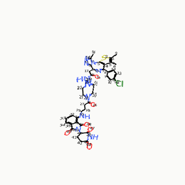 Cc1sc2c(c1C)C(c1ccc(Cl)cc1)=N[C@@H](CC(=O)NN1CCN(C(=O)CCCNc3cccc4c3C(=O)N(C3CCC(=O)NC3=O)C4=O)CC1)c1nnc(C)n1-2